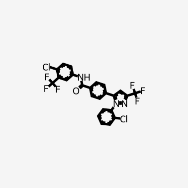 O=C(Nc1ccc(Cl)c(C(F)(F)F)c1)c1ccc(-c2cc(C(F)(F)F)nn2-c2ccccc2Cl)cc1